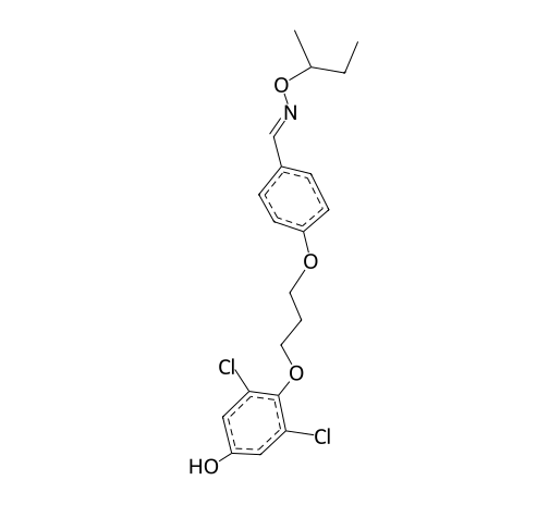 CCC(C)ON=Cc1ccc(OCCCOc2c(Cl)cc(O)cc2Cl)cc1